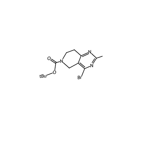 Cc1nc(Br)c2c(n1)CCN(C(=O)OC(C)(C)C)C2